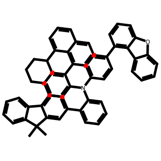 CC1(C)c2ccccc2-c2ccc(-c3ccccc3N(c3ccc(-c4cccc5oc6ccccc6c45)cc3)c3ccccc3-c3cccc4cccc(C5CCCCC5)c34)cc21